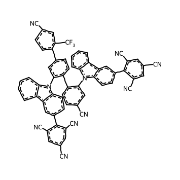 N#Cc1cc(C#N)c(-c2ccc3c(c2)c2ccccc2n3-c2cc(C#N)ccc2-c2ccc(-c3ccc(C#N)cc3C(F)(F)F)cc2-n2c3ccccc3c3cc(-c4c(C#N)cc(C#N)cc4C#N)ccc32)c(C#N)c1